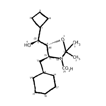 CC1(C)O[C@@H]([C@@H](O)C2CCC2)[C@H](CC2CCCCC2)N1C(=O)O